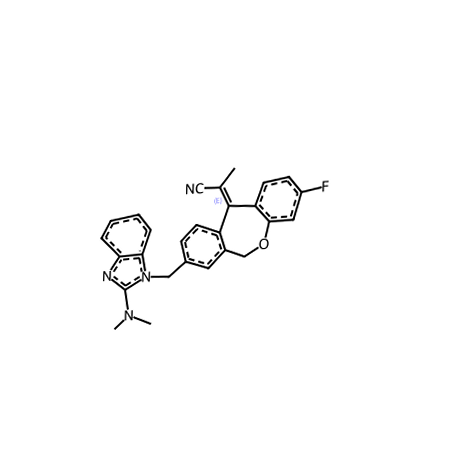 C/C(C#N)=C1/c2ccc(Cn3c(N(C)C)nc4ccccc43)cc2COc2cc(F)ccc21